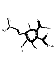 COC(=O)c1c(F)c(F)c(C=CN(C)C)c(F)c1C(=O)OC.I